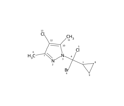 Cc1nn(C(Cl)(Br)C2CC2)c(C)c1Cl